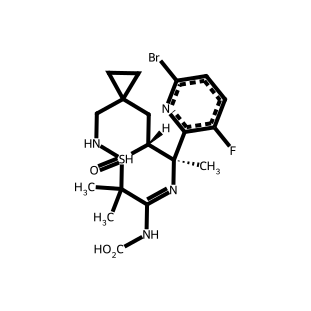 CC1(C)C(NC(=O)O)=N[C@](C)(c2nc(Br)ccc2F)[C@H]2CC3(CC3)CN[SH]21=O